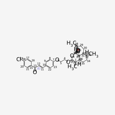 C[C@H]1[C@@H](OCCOc2ccc(/C=C/C(=O)c3ccc(Cl)cc3)cc2)O[C@@H]2O[C@@]3(C)CC[C@H]4[C@H](C)CC[C@@H]1[C@@]24OO3